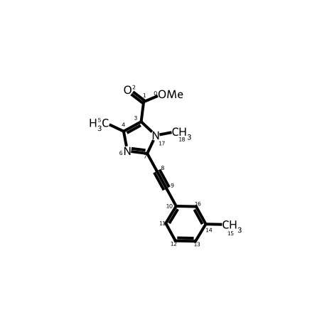 COC(=O)c1c(C)nc(C#Cc2cccc(C)c2)n1C